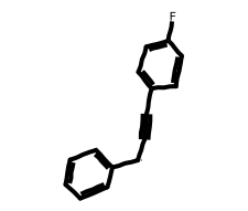 Fc1ccc(C#C[CH]c2ccccc2)cc1